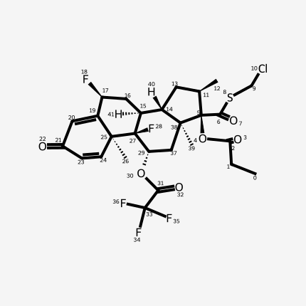 CCC(=O)O[C@]1(C(=O)SCCl)[C@H](C)C[C@H]2[C@@H]3C[C@H](F)C4=CC(=O)C=C[C@]4(C)[C@@]3(F)[C@@H](OC(=O)C(F)(F)F)C[C@@]21C